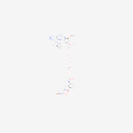 CC[C@@H]1c2nncn2-c2cnc(Nc3ccc(C(=O)NCCOCCOCCOCCOCCC(=O)Nc4cccc5c4CN(C4CCC(=O)NC4=O)C5=O)cc3OC)nc2N1C1CCCC1